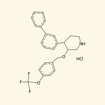 Cl.FC(F)(F)Oc1ccc(COC2CNCCC2c2cccc(-c3ccccc3)c2)cc1